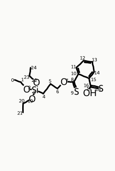 CCO[Si](CCCOC(=S)c1ccccc1C(O)=S)(OCC)OCC